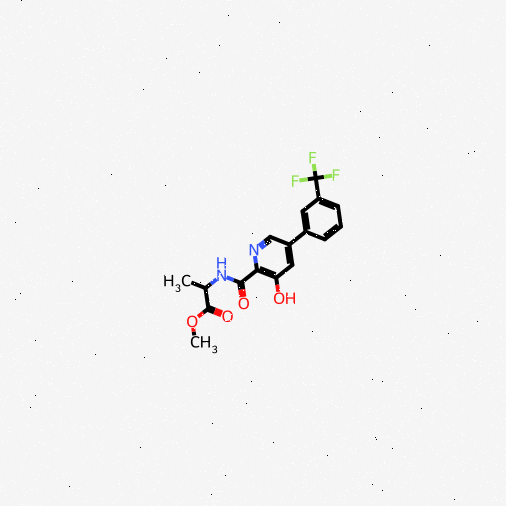 COC(=O)C(C)NC(=O)c1ncc(-c2cccc(C(F)(F)F)c2)cc1O